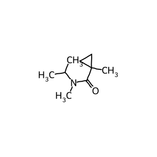 CC(C)N(C)C(=O)C1(C)CC1